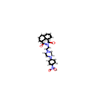 O=C1c2cccc3cccc(c23)C(=O)N1CCN1CCN(c2ccc([N+](=O)[O-])cc2)CC1